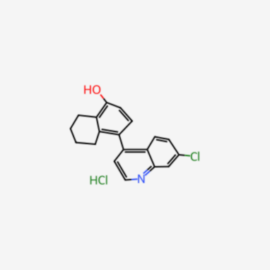 Cl.Oc1ccc(-c2ccnc3cc(Cl)ccc23)c2c1CCCC2